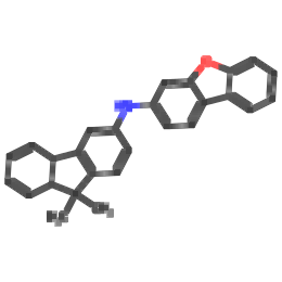 CC1(C)c2ccc(Nc3ccc4c(c3)oc3ccccc34)cc2C2C=CC=CC21